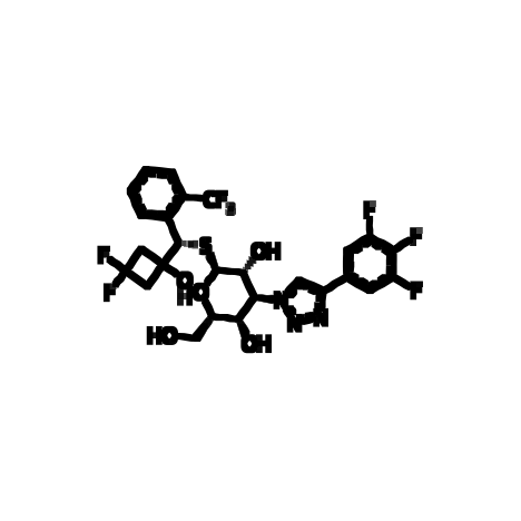 OC[C@H]1O[C@@H](S[C@@H](c2ccccc2C(F)(F)F)C2(O)CC(F)(F)C2)[C@H](O)[C@@H](n2cc(-c3cc(F)c(F)c(F)c3)nn2)[C@H]1O